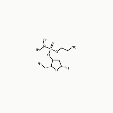 [2H]C[C@H]1O[C@@H]([3H])CC1OP(=S)(OCC[N+]#[C-])N(C(C)C)C(C)C